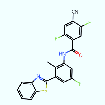 Cc1c(NC(=O)c2cc(F)c(C#N)cc2F)cc(F)cc1-c1nc2ccccc2s1